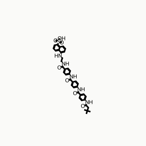 CC(C)(C)CC(=O)Nc1ccc(C(=O)Nc2ccc(C(=O)Nc3ccc(C(=O)NCCNc4cccc5c(S(=O)(=O)O)cccc45)cc3)cc2)cc1